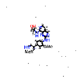 CN/C=C(\C=N)c1ccc(Nc2ncc3ccnc(NC(C)(C)CO)c3n2)c(OC)c1